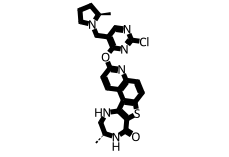 C[C@@H]1CNc2c(sc3ccc4nc(Oc5nc(Cl)ncc5CN5CCC[C@H]5C)ccc4c23)C(=O)N1